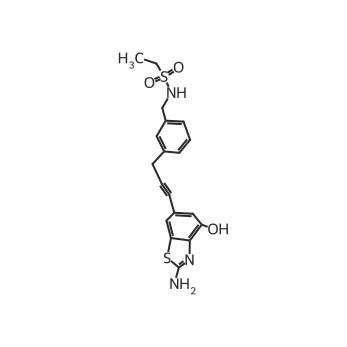 CCS(=O)(=O)NCc1cccc(CC#Cc2cc(O)c3nc(N)sc3c2)c1